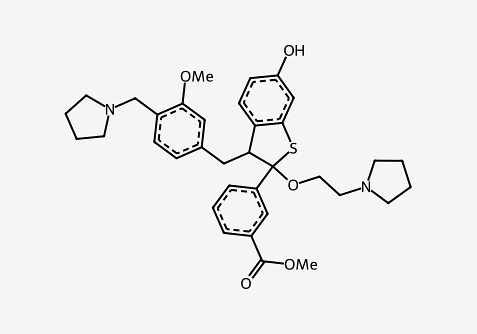 COC(=O)c1cccc(C2(OCCN3CCCC3)Sc3cc(O)ccc3C2Cc2ccc(CN3CCCC3)c(OC)c2)c1